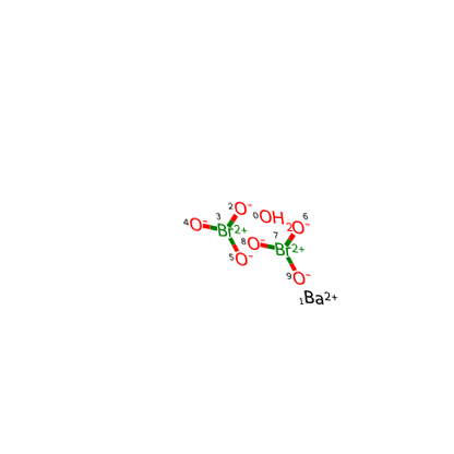 O.[Ba+2].[O-][Br+2]([O-])[O-].[O-][Br+2]([O-])[O-]